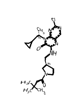 C[C@@H](C1CC1)n1c(=O)c(NC[C@H]2CCN(C(=O)CC(C)(C)C)C2)nc2cnc(Cl)nc21